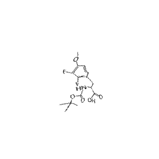 COc1ccc(CC(NC(=O)OC(C)(C)C)C(=O)O)c(F)c1F